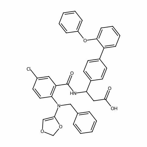 O=C(O)CC(NC(=O)c1cc(Cl)ccc1N(Cc1ccccc1)C1=COCO1)c1ccc(-c2ccccc2Oc2ccccc2)cc1